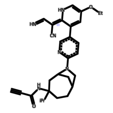 C#CC(=O)NC1(C(C)C)CCC2CC(C1)N(c1ccc(C3=CC(OCC)=CN/C3=C(/C#N)C=N)cn1)C2